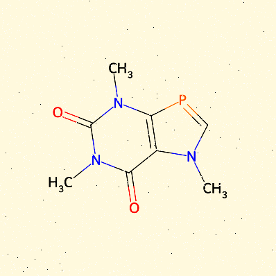 Cn1c(=O)c2c(pcn2C)n(C)c1=O